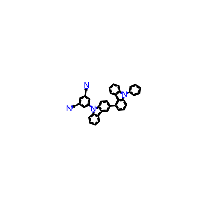 N#Cc1cc(C#N)cc(-n2c3ccccc3c3cc(-c4cccc5c4c4ccccc4n5-c4ccccc4)ccc32)c1